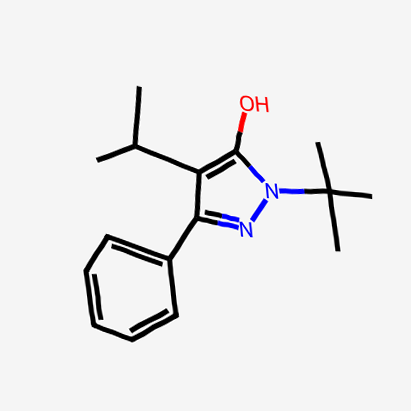 CC(C)c1c(-c2ccccc2)nn(C(C)(C)C)c1O